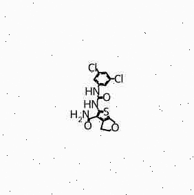 NC(=O)c1c(NC(=O)Nc2cc(Cl)cc(Cl)c2)sc2c1CCOC2